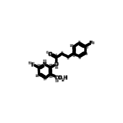 O=C(CCc1ccc(F)cc1)Oc1nc(F)ccc1C(=O)O